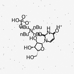 CCCC[N+](CCCC)(CCCC)CCCC.O=P([O-])([O-])O.O=c1ccn([C@@H]2O[C@H](CO)[C@@H](O)[C@H]2O)c(=O)[nH]1.[H+]